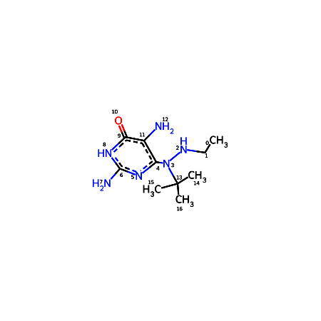 CCNN(c1nc(N)[nH]c(=O)c1N)C(C)(C)C